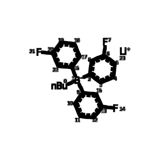 CCCC[B-](c1cccc(F)c1)(c1cccc(F)c1)c1cccc(F)c1.[Li+]